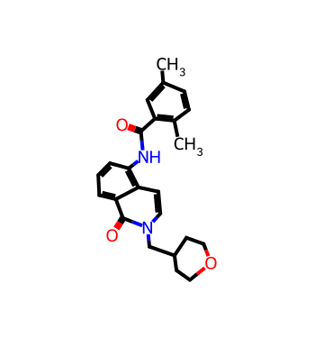 Cc1ccc(C)c(C(=O)Nc2cccc3c(=O)n(CC4CCOCC4)ccc23)c1